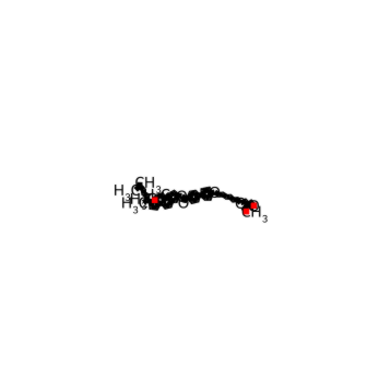 CCC1(COCCCCCCOc2ccc(-c3ccc(C(=O)OC4CCC5(C)C(=CCC6C5CCC5(C)C(C(C)CCCC(C)C)CCC65)C4)cc3)cc2)COC1